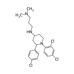 CN(C)CCCNC1CCN(c2ccc(Cl)cc2Cl)C(c2ccc(Cl)cc2)C1